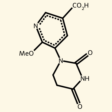 COc1ncc(C(=O)O)cc1N1CCC(=O)NC1=O